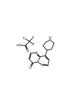 O=C(O)C(F)(F)F.O=c1ccnc2c(C3CCNCC3)ccnn12